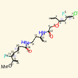 C=C/C(=C\C(F)=C\Cl)OCC(=O)NC(=C)CCNC(=O)/C=C/C=C(/F)C(=C)OC